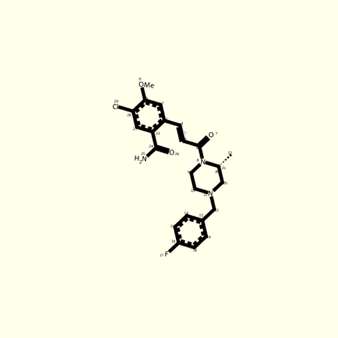 COc1cc(/C=C/C(=O)N2CCN(Cc3ccc(F)cc3)C[C@H]2C)c(C(N)=O)cc1Cl